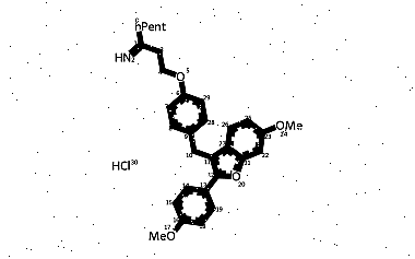 CCCCCC(=N)CCOc1ccc(Cc2c(-c3ccc(OC)cc3)oc3cc(OC)ccc23)cc1.Cl